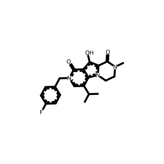 CC(C)c1cn(Cc2ccc(F)cc2)c(=O)c2c(O)c3n(c12)CCN(C)C3=O